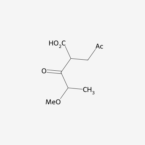 COC(C)C(=O)C(CC(C)=O)C(=O)O